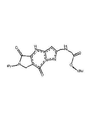 CC(C)N1Cc2c([nH]c3cc(NC(=O)OC(C)(C)C)nn3c2=O)C1=O